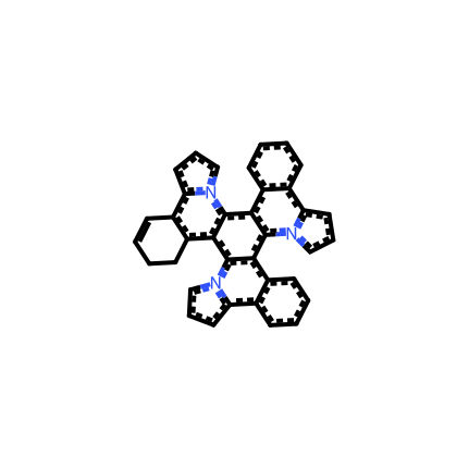 C1=Cc2c(c3c(c4c5ccccc5c5cccn5c4c4c5ccccc5c5cccn5c34)n3cccc23)CC1